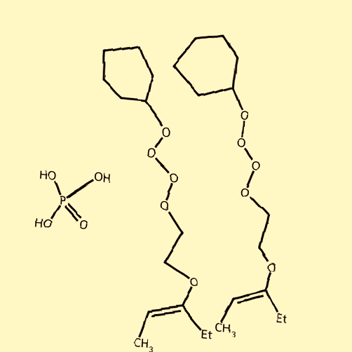 CC=C(CC)OCCOOOOC1CCCCC1.CC=C(CC)OCCOOOOC1CCCCC1.O=P(O)(O)O